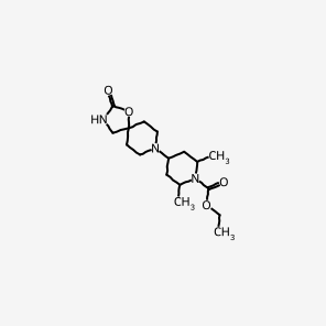 CCOC(=O)N1C(C)CC(N2CCC3(CC2)CNC(=O)O3)CC1C